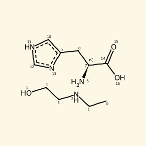 CCNCCO.N[C@@H](Cc1c[nH]cn1)C(=O)O